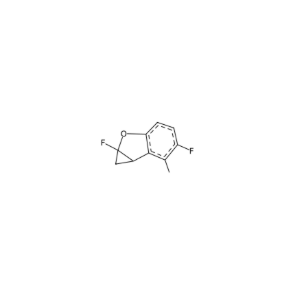 Cc1c(F)ccc2c1C1CC1(F)O2